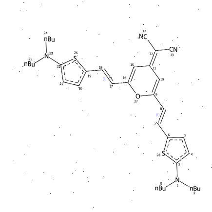 CCCCN(CCCC)c1ccc(/C=C/C2=CC(=C(C#N)C#N)C=C(/C=C/c3ccc(N(CCCC)CCCC)s3)O2)s1